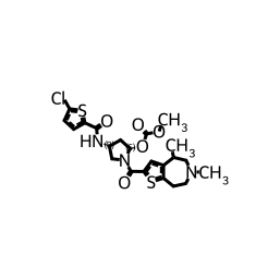 COC(=O)O[C@H]1C[C@@H](NC(=O)c2ccc(Cl)s2)CN1C(=O)c1cc2c(s1)CCN(C)CC2C